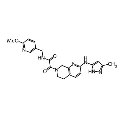 COc1ccc(CNC(=O)C(=O)N2CCc3ccc(Nc4cc(C)n[nH]4)nc3C2)cn1